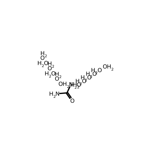 NC(N)=O.O.O.O.O.O.O.O.O.O.O.O.O